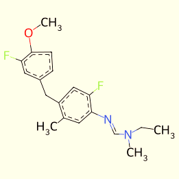 CCN(C)C=Nc1cc(C)c(Cc2ccc(OC)c(F)c2)cc1F